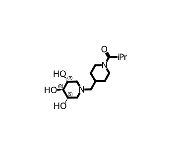 CC(C)C(=O)N1CCC(CN2C[C@@H](O)[C@H](O)[C@@H](O)C2)CC1